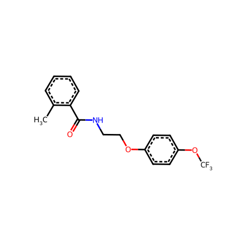 Cc1ccccc1C(=O)NCCOc1ccc(OC(F)(F)F)cc1